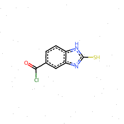 O=C(Cl)c1ccc2[nH]c(S)nc2c1